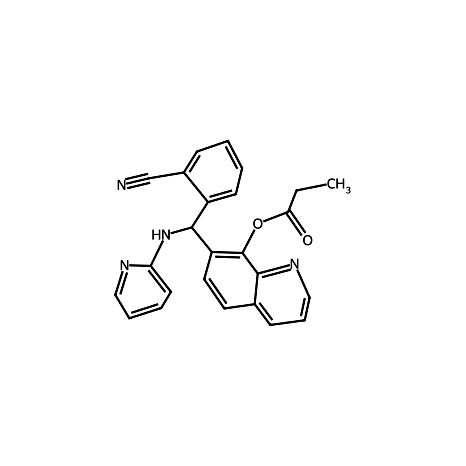 CCC(=O)Oc1c(C(Nc2ccccn2)c2ccccc2C#N)ccc2cccnc12